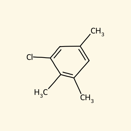 Cc1cc(C)c(C)c(Cl)c1